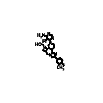 Cc1cc(-c2cn(CC3CN(CO)C3)c(C3CCN(c4ncnc(N)c4C(C)C)CC3)n2)ccc1F